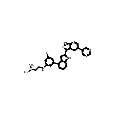 CN(C)CCNc1cc(F)cc(-c2cccc3[nH]c(-c4n[nH]c5ncc(-c6cncnc6)cc45)cc23)c1